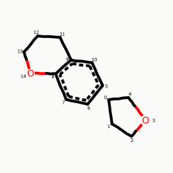 C1CCOC1.c1ccc2c(c1)CCCO2